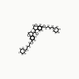 O=C(C1CCOc2cc(OCCCCN3CCCCC3)ccc21)C1CCOc2cc(OCCCCN3CCCCC3)ccc21